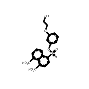 O=C(O)c1cccc2c(S(=O)(=O)Oc3cccc(OCCO)c3)ccc(C(=O)O)c12